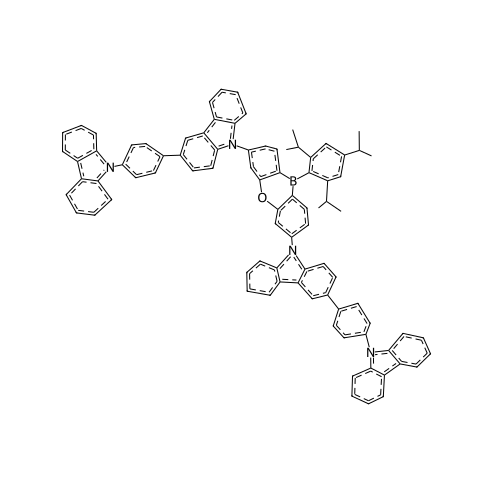 CC(C)c1cc(C(C)C)c(B2c3ccc(-n4c5ccccc5c5cc(-c6ccc(-n7c8ccccc8c8ccccc87)cc6)ccc54)cc3Oc3cc(-n4c5ccccc5c5cc(-c6ccc(-n7c8ccccc8c8ccccc87)cc6)ccc54)ccc32)c(C(C)C)c1